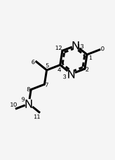 Cc1cnc(C(C)CCN(C)C)cn1